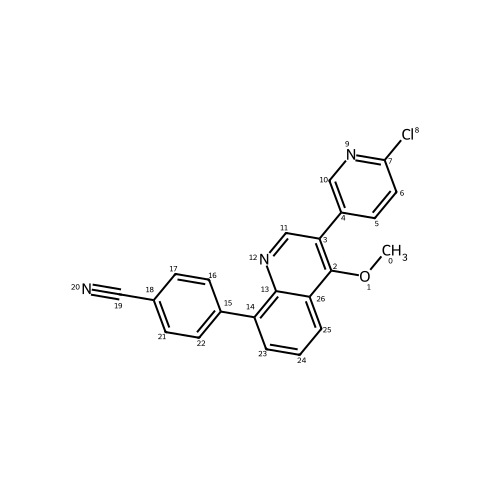 COc1c(-c2ccc(Cl)nc2)cnc2c(-c3ccc(C#N)cc3)cccc12